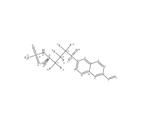 C=Cc1ccc2cc(S(=O)(=O)C(F)(F)C(F)(F)C(F)(F)S(=O)(=O)NS(=O)(=O)C(F)(F)F)ccc2c1